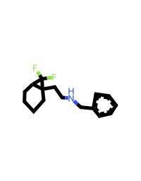 FC1(F)C2CCCCC21CCNCc1ccccc1